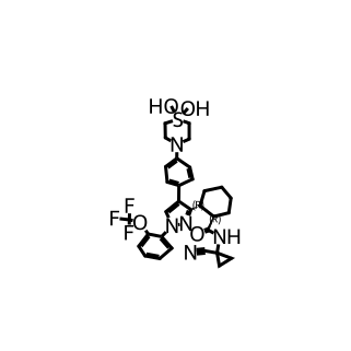 N#CC1(NC(=O)[C@@H]2CCCC[C@H]2c2nn(-c3ccccc3OC(F)(F)F)cc2-c2ccc(N3CCS(O)(O)CC3)cc2)CC1